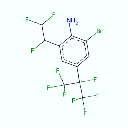 Nc1c(Br)cc(C(F)(C(F)(F)F)C(F)(F)F)cc1C(F)C(F)F